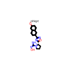 CCCCCCCOc1ccc2cc(-c3noc([C@@H]4CCCN4/C(N)=N\O)n3)ccc2c1